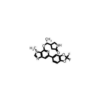 C[C@@H](Oc1nc(-c2ccc3c(c2)OC(F)(F)O3)cc2ncn(C)c12)C1CNC(=O)C1